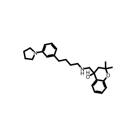 CC1(C)CC(O)(CNCCCCc2cccc(N3CCCC3)c2)c2ccccc2O1